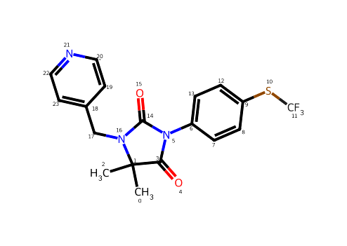 CC1(C)C(=O)N(c2ccc(SC(F)(F)F)cc2)C(=O)N1Cc1c[c]ncc1